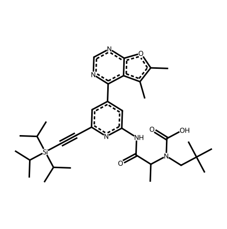 Cc1oc2ncnc(-c3cc(C#C[Si](C(C)C)(C(C)C)C(C)C)nc(NC(=O)C(C)N(CC(C)(C)C)C(=O)O)c3)c2c1C